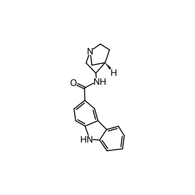 O=C(NC1CN2CC[C@H]1C2)c1ccc2[nH]c3ccccc3c2c1